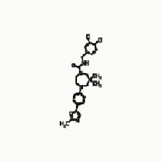 Cc1ncc(-c2ccc(N3CCN(C(=O)NCc4ccc(Cl)c(Cl)c4)CC(C)(C)C3)cc2)o1